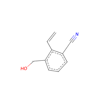 C=Cc1c(C#N)cccc1[CH]O